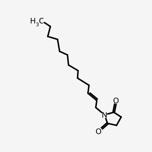 CCCCCCCCCCC=CCN1C(=O)CCC1=O